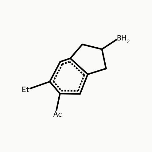 BC1Cc2cc(CC)c(C(C)=O)cc2C1